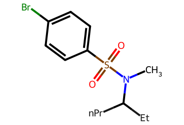 [CH2]CC(CCC)N(C)S(=O)(=O)c1ccc(Br)cc1